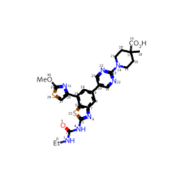 CCNC(=O)Nc1nc2cc(-c3cnc(N4CCC(C)(C(=O)O)CC4)nc3)cc(-c3csc(OC)n3)c2s1